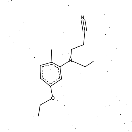 CCOc1ccc(C)c(N(CC)CCC#N)c1